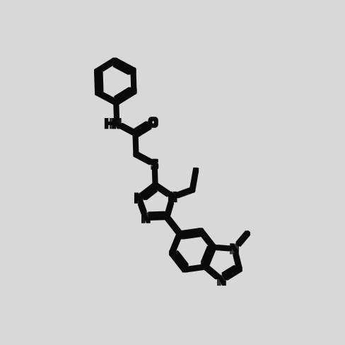 CCn1c(SCC(=O)Nc2ccccc2)nnc1-c1ccc2ncn(C)c2c1